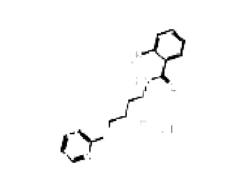 Cl.Cl.Nc1ccccc1C(=O)NCCCCSc1ccccn1